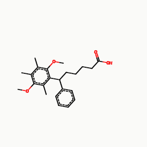 COc1c(C)c(C)c(OC)c(C(CCCCC(=O)O)c2ccccc2)c1C